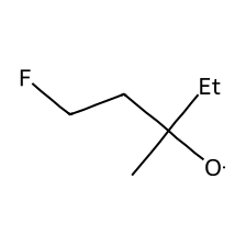 CCC(C)([O])CCF